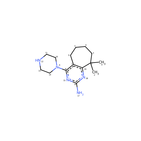 CC1(C)CCCCc2c(N3CCNCC3)nc(N)nc21